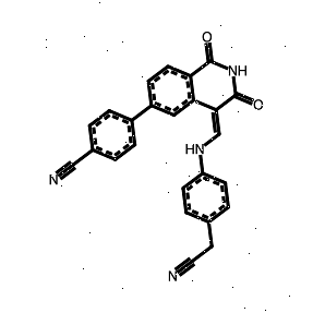 N#CCc1ccc(N/C=C2/C(=O)NC(=O)c3ccc(-c4ccc(C#N)cc4)cc32)cc1